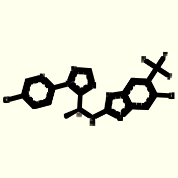 C[C@H](Nc1nc2cc(C(F)(F)F)c(Cl)cc2o1)c1ncnn1-c1ccc(Cl)cn1